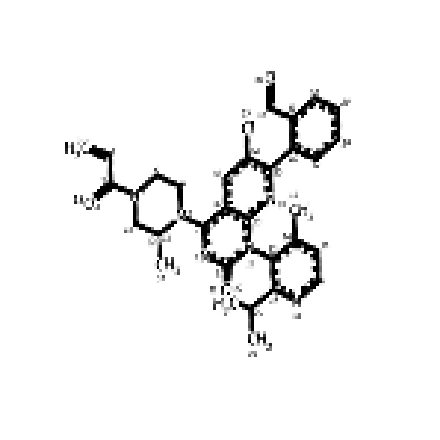 C=CC(=[18O])N1CCN(c2nc(=O)n(-c3c(C)ccnc3C(C)C)c3nc(-c4ccccc4C=O)c(Cl)cc23)[C@@H](C)C1